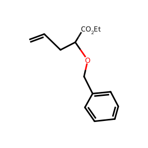 C=CCC(OCc1ccccc1)C(=O)OCC